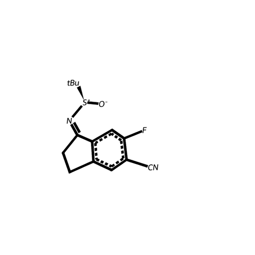 CC(C)(C)[S@@+]([O-])/N=C1/CCc2cc(C#N)c(F)cc21